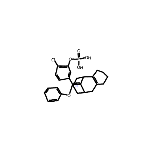 O=P(O)(O)Oc1cc(/C(Oc2ccccc2)=C2/C3CCCC2C2=C(CCCC2)C3)ccc1Cl